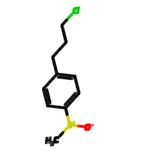 C[S+]([O-])c1ccc(CCCCl)cc1